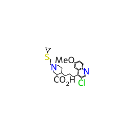 COc1ccc2ncc(Cl)c(CCCC3CCN(CCSC4CC4)CC3C(=O)O)c2c1